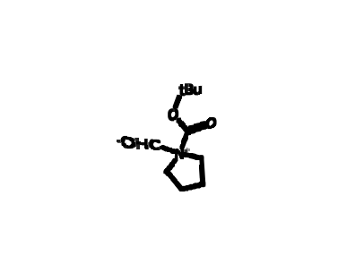 CC(C)(C)OC(=O)[N+]1([C]=O)CCCC1